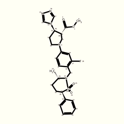 COC(=O)[C@@H]1CN(c2ccc(CN3[C@@H](C)CC[C@H](c4ccccc4)S3(=O)=O)c(F)c2)CC[C@H]1n1cnnc1